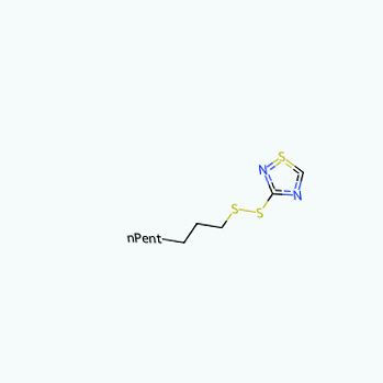 CCCCCCCCSSc1ncsn1